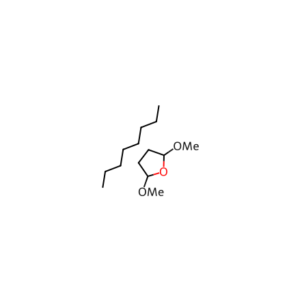 CCCCCCCC.COC1CCC(OC)O1